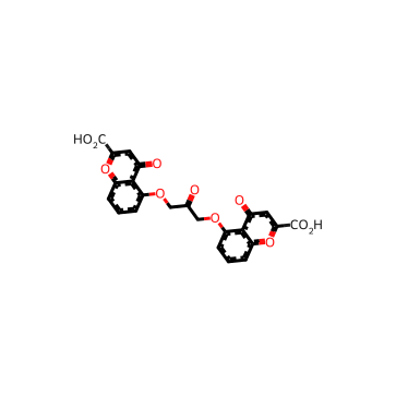 O=C(COc1cccc2oc(C(=O)O)cc(=O)c12)COc1cccc2oc(C(=O)O)cc(=O)c12